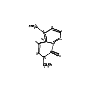 CCOC(=O)c1cccc2c(=O)n(C(=O)OCC)ccc12